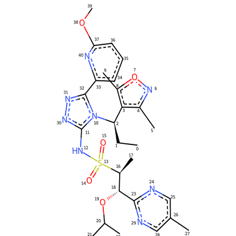 CC[C@H](c1c(C)noc1C)n1c(NS(=O)(=O)[C@@H](C)[C@@H](OC(C)C)c2ncc(C)cn2)nnc1-c1cccc(OC)n1